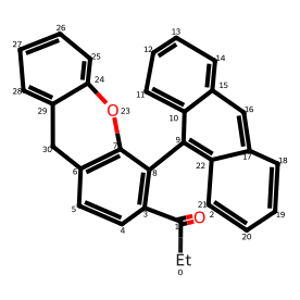 CCC(=O)c1ccc2c(c1-c1c3ccccc3cc3ccccc13)Oc1ccccc1C2